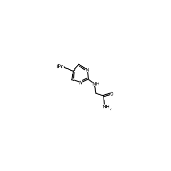 CC(C)c1cnc(NCC(N)=O)nc1